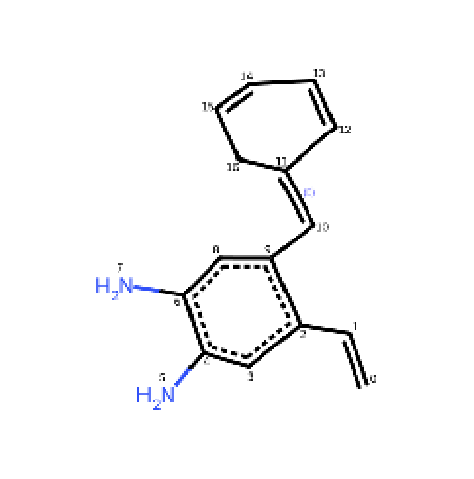 C=Cc1cc(N)c(N)cc1/C=C1/C=CC=CC1